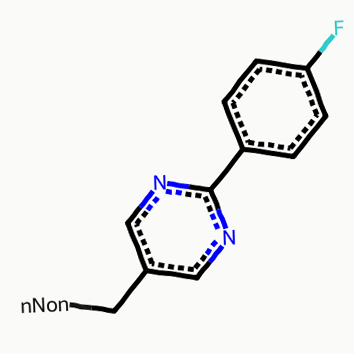 CCCCCCCCCCc1cnc(-c2ccc(F)cc2)nc1